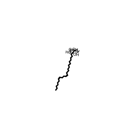 CCCCCC/C=C\CC/C=C\CCCCCCCCCCCC(O)(C[N+](C)(C)C)P(=O)(O)O